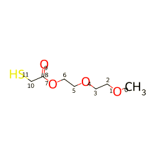 COCCOCCOC(=O)CS